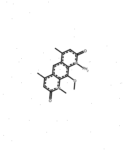 COc1c2c(cc3c(C)cc(=O)n(P)c13)c(C)cc(=O)n2C